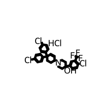 Cl.OC1(c2ccc(Cl)c(C(F)(F)F)c2)CCN(C2C=CC(c3ccc(Cl)cc3)(c3ccc(Cl)cc3)CC2)CC1